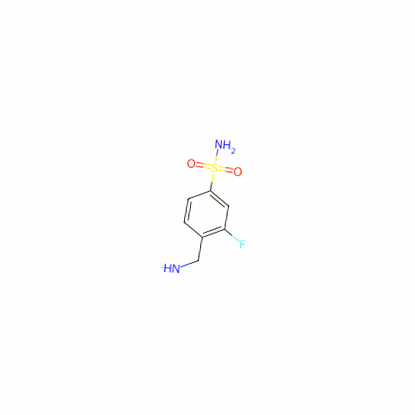 [NH]Cc1ccc(S(N)(=O)=O)cc1F